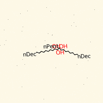 CCCCCCCCCCCCCCCCCCC(O)C(O)C(O)(CCCCC)CCCCCCCCCCCCCCCCCC